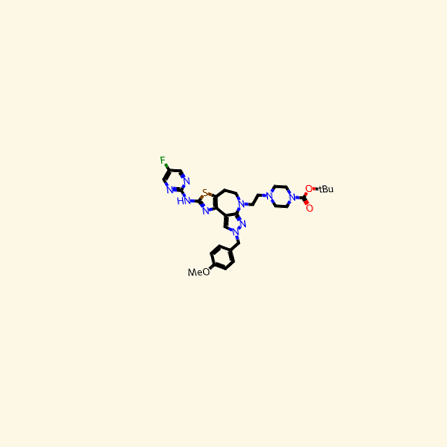 COc1ccc(Cn2cc3c(n2)N(CCN2CCN(C(=O)OC(C)(C)C)CC2)CCc2sc(Nc4ncc(F)cn4)nc2-3)cc1